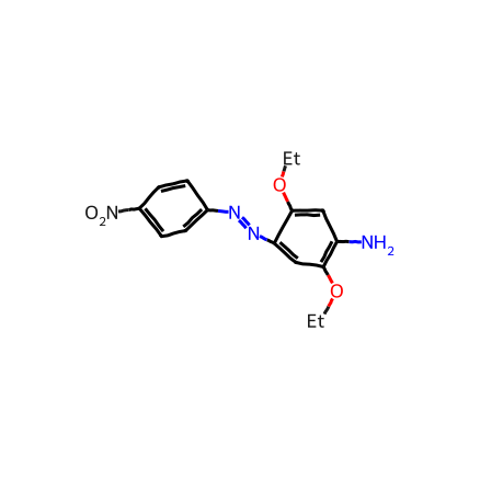 CCOc1cc(N=Nc2ccc([N+](=O)[O-])cc2)c(OCC)cc1N